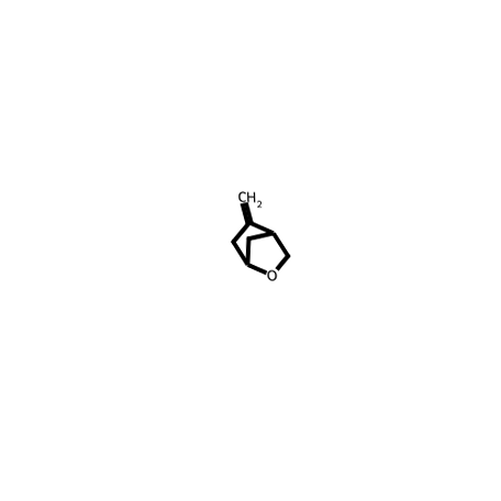 C=C1CC2CC1CO2